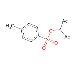 CC(=O)C(OS(=O)(=O)c1ccc(C)cc1)C(C)=O